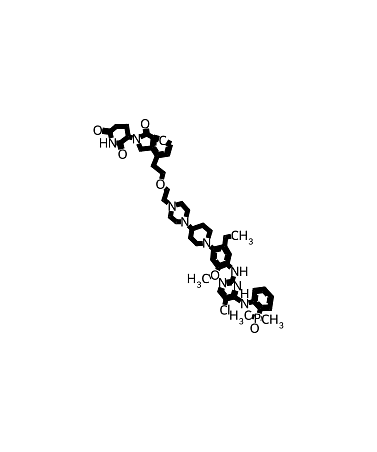 CCc1cc(Nc2ncc(Cl)c(Nc3ccccc3P(C)(C)=O)n2)c(OC)cc1N1CCC(N2CCN(CCOCCc3cccc4c3CN(C3CCC(=O)NC3=O)C4=O)CC2)CC1